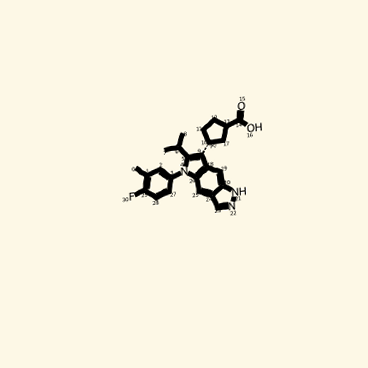 Cc1cc(-n2c(C(C)C)c([C@@H]3CCC(C(=O)O)C3)c3cc4[nH]ncc4cc32)ccc1F